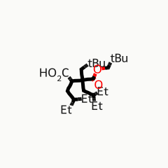 CCC(CC)CC(C(=O)O)C(CC(CC)CC)(CC(C)(C)C)C(=O)OCC(C)(C)C